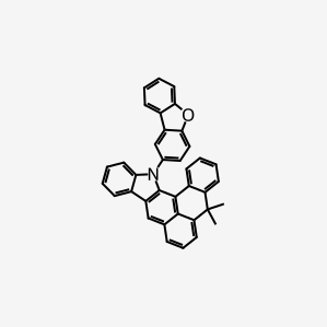 CC1(C)c2ccccc2-c2c3c1cccc3cc1c3ccccc3n(-c3ccc4oc5ccccc5c4c3)c21